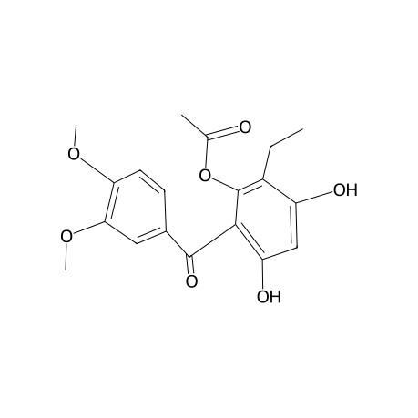 CCc1c(O)cc(O)c(C(=O)c2ccc(OC)c(OC)c2)c1OC(C)=O